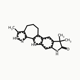 Cc1[nH]nc2c1CCCc1c-2[nH]c2cc3c(cc12)C(C)(C)C(=O)N3